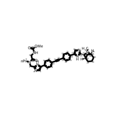 CCCN(Cc1ncc(-c2ccc(C#Cc3ccc(-c4cnc([C@@H]5[C@H]6CCC[C@H](C6)N5C)[nH]4)cc3)cc2)[nH]1)C(=O)CNC(=O)OC